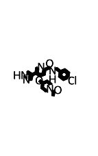 CC(=O)N1CCC(Oc2cc(C(=O)NCc3ccc(Cl)cc3)ncc2-c2cn[nH]c2)CC1